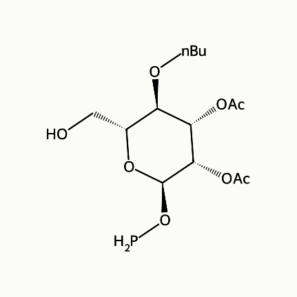 CCCCO[C@H]1[C@H](OC(C)=O)[C@H](OC(C)=O)[C@@H](OP)O[C@@H]1CO